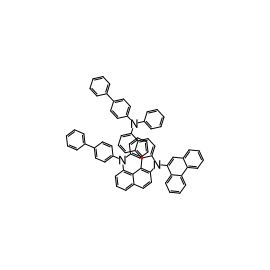 c1ccc(-c2ccc(N(c3ccccc3)c3cccc4c3ccc3c4c4c5c(N(c6ccccc6)c6ccc(-c7ccccc7)cc6)cccc5ccc4n3-c3cc4ccccc4c4ccccc34)cc2)cc1